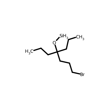 CCCC(CCC)(CCCBr)O[SiH3]